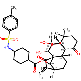 C=C1C(=O)[C@]23[C@H](OC(=O)C4CCC(NS(=O)(=O)c5ccc(C(F)(F)F)cc5)CC4)[C@H]1CC[C@H]2[C@@]12CO[C@@]3(O)[C@@H](O)[C@@H]1C(C)(C)CCC2=O